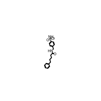 NS(=O)(=O)c1ccc(CNC(=O)CCCCc2ccccc2)cc1